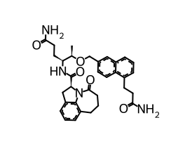 C[C@@H](OCc1ccc2c(CCC(N)=O)cccc2c1)[C@H](CCC(N)=O)NC(=O)[C@@H]1Cc2cccc3c2N1C(=O)CCC3